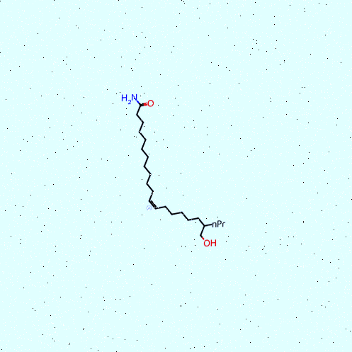 CCCC(CO)CCCCC/C=C\CCCCCCCCCCC(N)=O